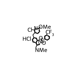 CNCc1cn(S(=O)(=O)c2cccc(C(F)(F)F)c2)c2cc(Cc3ccc(OC)nc3Cl)ccc12.Cl